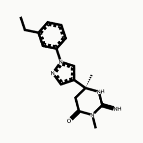 CCc1cccc(-n2cc([C@]3(C)CC(=O)N(C)C(=N)N3)cn2)c1